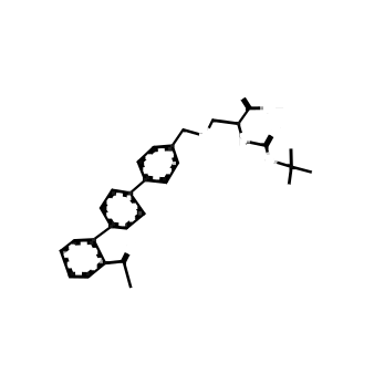 CC(=O)c1ccccc1-c1ccc(-c2ccc(CSCC(NC(=O)OC(C)(C)C)C(=O)O)cc2)cc1